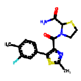 Cc1nc(C(=O)N2CCSC2C(N)=O)c(-c2ccc(C)c(F)c2)s1